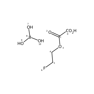 O=C(O)C(=O)OCCF.OB(O)O